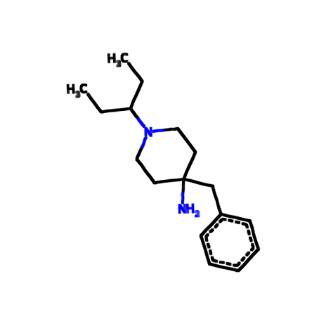 CCC(CC)N1CCC(N)(Cc2ccccc2)CC1